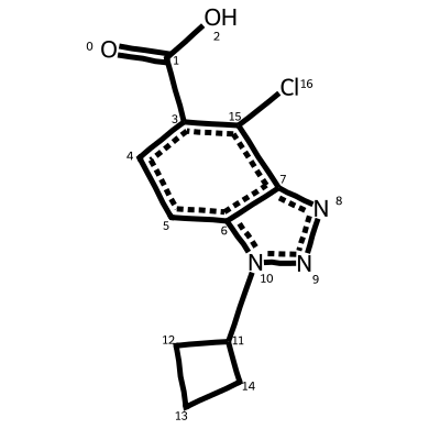 O=C(O)c1ccc2c(nnn2C2CCC2)c1Cl